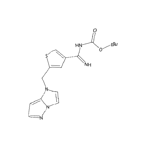 CC(C)(C)OC(=O)NC(=N)c1csc(Cn2ccn3nccc23)c1